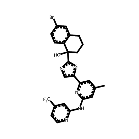 Cc1cc(Nc2cc(C(F)(F)F)ccn2)nc(-c2cnc(C3(O)CCCc4cc(Br)ccc43)s2)c1